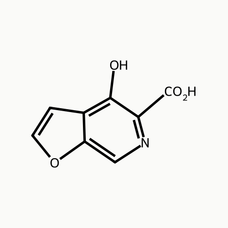 O=C(O)c1ncc2occc2c1O